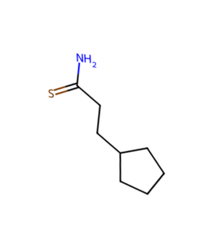 NC(=S)CCC1CCCC1